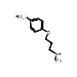 CCCCNCCCOc1ccc(C(=O)O)cc1